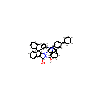 O=c1c2ccccc2n2n1C(O)C1=C2C2(c3ccccc31)c1ccccc1-c1ccc(-n3c4ccccc4c4cc(-c5ccccc5)ccc43)cc12